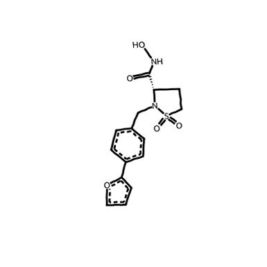 O=C(NO)[C@@H]1CCS(=O)(=O)N1Cc1ccc(-c2ccco2)cc1